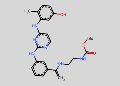 C=C(NCCNC(=O)OC(C)(C)C)c1cccc(Nc2nccc(Nc3cc(O)ccc3C)n2)c1